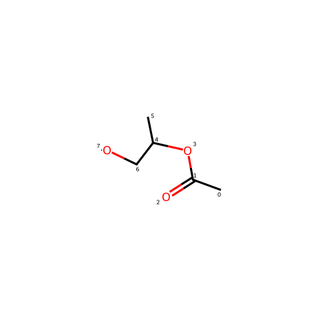 CC(=O)OC(C)C[O]